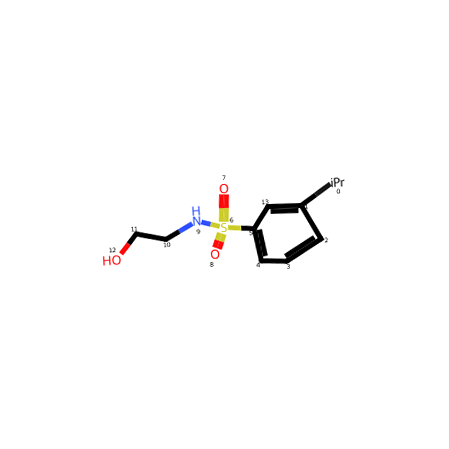 CC(C)c1cccc(S(=O)(=O)NCCO)c1